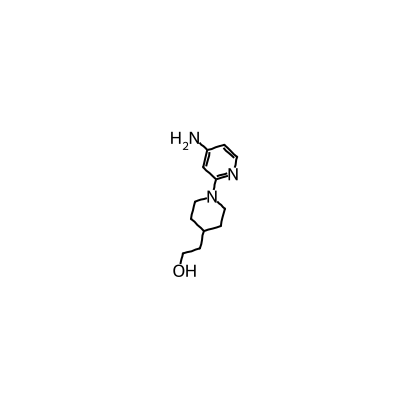 Nc1ccnc(N2CCC(CCO)CC2)c1